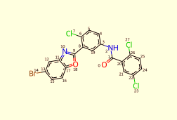 O=C(Nc1ccc(Cl)c(-c2nc3cc(Br)ccc3o2)c1)c1cc(Cl)ccc1Cl